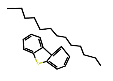 CCCCCCCCCCCCC.c1ccc2c(c1)sc1ccccc12